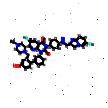 CC(=O)N1CCN(Cc2cc(O)ccc2-c2cccc(-n3c(=O)n([C@H]4CC[C@@H](NCC5CN6C=C(F)C=CC6=N5)CC4)c(=O)c4cc(F)cnc43)c2)CC1